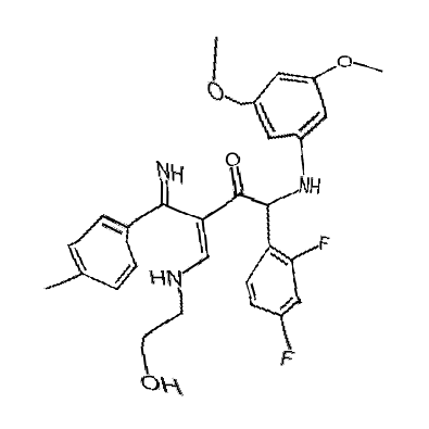 COc1cc(NC(C(=O)/C(=C/NCCO)C(=N)c2ccc(C)cc2)c2ccc(F)cc2F)cc(OC)c1